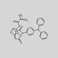 C=C(C)C(=O)OC1C2OC(=O)C3C2OC1C3C(=O)Oc1ccc([S+](c2ccccc2)c2ccccc2)cc1